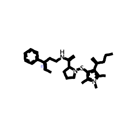 C=C(CCC)c1c(SN2CCCC2C(=C)NCC/C(=C\C)c2ccccc2)c(C)n(C)c1C